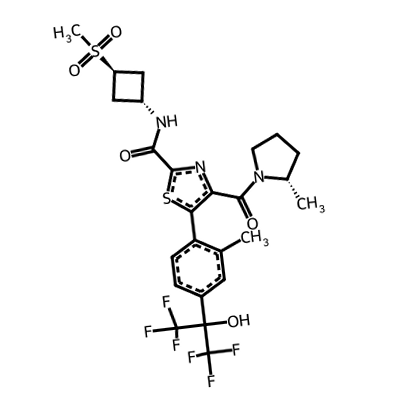 Cc1cc(C(O)(C(F)(F)F)C(F)(F)F)ccc1-c1sc(C(=O)N[C@H]2C[C@H](S(C)(=O)=O)C2)nc1C(=O)N1CCC[C@@H]1C